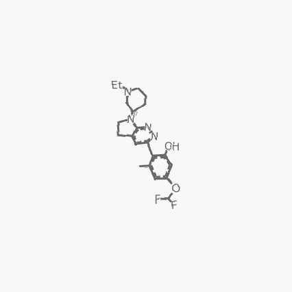 CCN1CCC[C@@H](N2CCc3cc(-c4c(C)cc(OC(F)F)cc4O)nnc32)C1